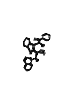 CN(C(=O)c1cccc2ccccc12)c1nc2n(c1C(=O)Nc1ccccc1)CCCC2